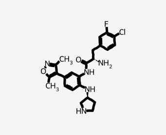 Cc1noc(C)c1-c1ccc(N[C@H]2CCNC2)c(NC(=O)[C@@H](N)Cc2ccc(Cl)c(F)c2)c1